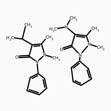 Cc1c(C(C)C)c(=O)n(-c2ccccc2)n1C.Cc1c(N(C)C)c(=O)n(-c2ccccc2)n1C